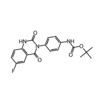 CC(C)(C)OC(=O)Nc1ccc(-n2c(=O)[nH]c3ccc(F)cc3c2=O)cc1